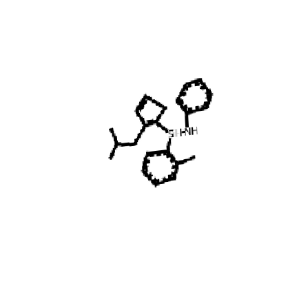 Cc1ccccc1[SiH](Nc1ccccc1)C1=C(CC(C)C)C=CC1